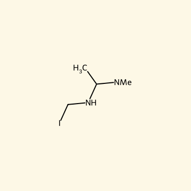 CNC(C)NCI